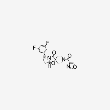 O=C(c1cocn1)N1CCC2(CC1)O[C@@H]1CC[C@@H](c3cc(F)cc(F)c3)N1C2=O